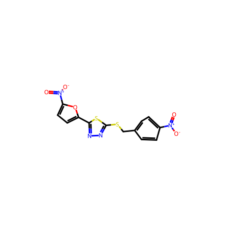 O=[N+]([O-])c1ccc(CSc2nnc(-c3ccc([N+](=O)[O-])o3)s2)cc1